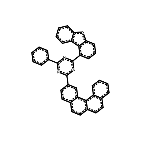 c1ccc(-c2nc(-c3ccc4ccc5ccc6ccccc6c5c4c3)nc(-c3cccc4sc5ccccc5c34)n2)cc1